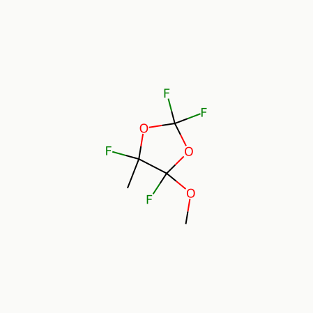 COC1(F)OC(F)(F)OC1(C)F